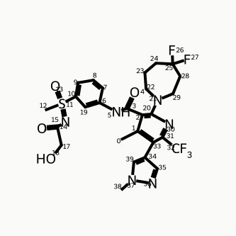 Cc1c(C(=O)Nc2cccc(S(C)(=O)=NC(=O)CO)c2)c(N2CCCC(F)(F)CC2)nc(C(F)(F)F)c1-c1cnn(C)c1